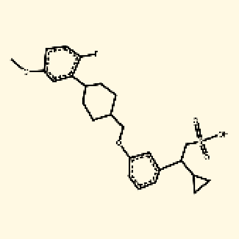 COc1ccc(F)c(C2CCC(COc3cccc(C(CS(=O)(=O)O)C4CC4)c3)CC2)c1